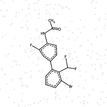 CC(=O)Nc1ccc(-c2cccc(Br)c2C(F)F)cc1F